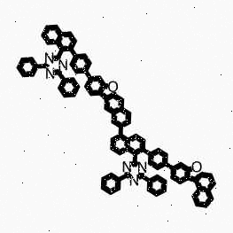 c1ccc(-c2nc(-c3ccccc3)nc(-c3c(-c4ccc(-c5ccc6c(c5)oc5cc7ccc(-c8cccc9c(-c%10nc(-c%11ccccc%11)nc(-c%11ccccc%11)n%10)c(-c%10ccc(-c%11ccc%12c(c%11)oc%11ccc%13ccccc%13c%11%12)cc%10)ccc89)cc7cc56)cc4)ccc4ccccc34)n2)cc1